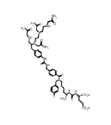 NC(=O)CNCCN(CCN(CC(N)=O)C(CNCC(N)=O)Cc1ccc(NC(=S)NCc2ccc(C(=O)N(CCCC[C@@H](NC(=O)N[C@H](CCC(=O)O)C(=O)O)C(=O)O)Cc3ccc(I)cc3)cc2)cc1)CC(N)=O